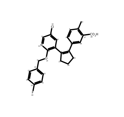 Cc1ccc(C2=C(c3cc(Cl)cnc3OCc3ccc(F)cc3)CCC2)cc1C(=O)O